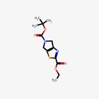 CCOC(=O)c1nc2c(s1)CN(C(=O)OC(C)(C)C)C2